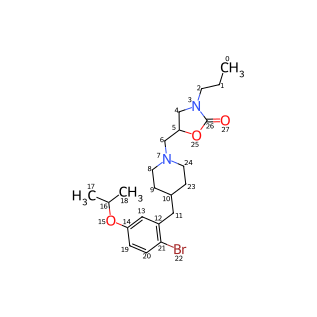 CCCN1CC(CN2CCC(Cc3cc(OC(C)C)ccc3Br)CC2)OC1=O